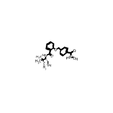 CC(C)(C)[C@@H](CO)NC(=O)c1ccccc1OCc1ccc(C(=O)NO)cc1